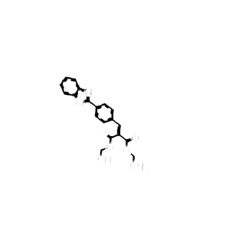 CCOC(=O)C(=Cc1ccc(-c2nc3ccccc3o2)cc1)C(=O)OCC